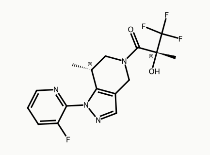 C[C@@H]1CN(C(=O)[C@@](C)(O)C(F)(F)F)Cc2cnn(-c3ncccc3F)c21